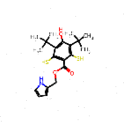 CC(C)(C)c1c(O)c(C(C)(C)C)c(S)c(C(=O)OCc2ccc[nH]2)c1S